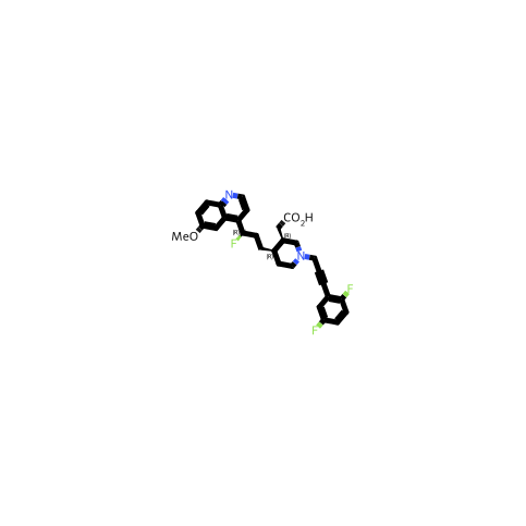 COc1ccc2nccc([C@H](F)CC[C@@H]3CCN(CC#Cc4cc(F)ccc4F)C[C@@H]3CC(=O)O)c2c1